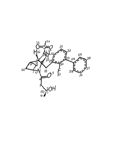 C[C@H](O)CC(=O)N1C2CC(C2)[C@H](NS(C)(=O)=O)[C@@H]1Cc1cccc(-c2ccccc2)c1F